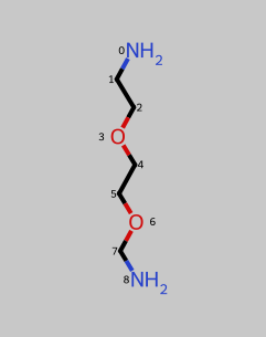 NCCOCCOCN